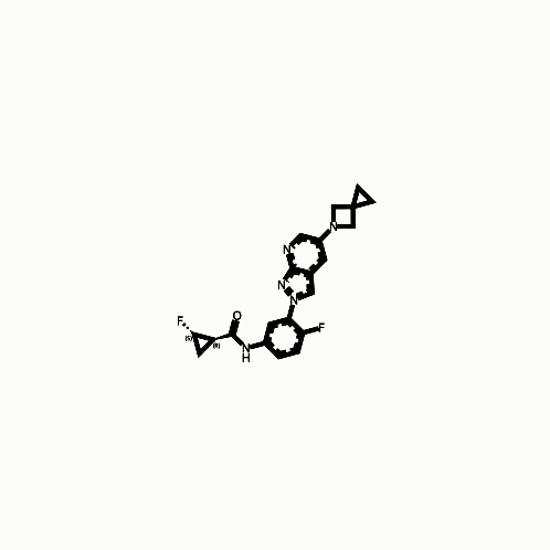 O=C(Nc1ccc(F)c(-n2cc3cc(N4CC5(CC5)C4)cnc3n2)c1)[C@H]1C[C@@H]1F